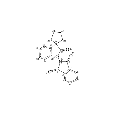 O=C1c2ccccc2C(=O)N1OC(=O)C1(c2ccccc2)CCCC1